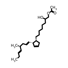 CCC=C[C@@H](C)CC=C[C@H]1C=CC[C@@H]1CCCCCCC(O)COC(C)=O